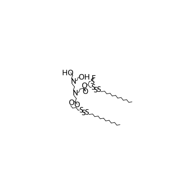 CCCCCCCCCCCCSSSCC(CC)OC(=O)CCN(CCCN(CCO)CCO)CCC(=O)OC(CSF)CSSSCCCCCCCCCCCC